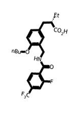 CCCCOc1ccc(C[C@H](CC)C(=O)O)cc1CNC(=O)c1ccc(C(F)(F)F)cc1F